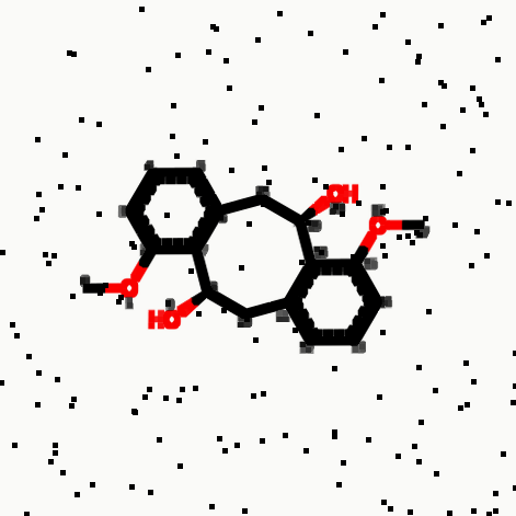 COc1cccc2c1[C@H](O)Cc1cccc(OC)c1[C@H](O)C2